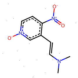 CN(C)C=Cc1c[n+]([O-])ccc1[N+](=O)[O-]